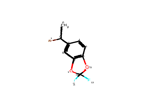 CC(Br)c1ccc2c(c1)OC(F)(F)O2